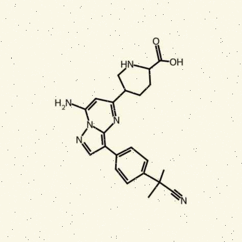 CC(C)(C#N)c1ccc(-c2cnn3c(N)cc(C4CCC(C(=O)O)NC4)nc23)cc1